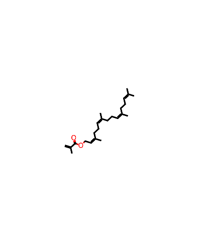 C=C(C)C(=O)OCC=C(C)CCC=C(C)CCC=C(C)CCC=C(C)C